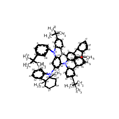 CC(C)(C)c1cccc(N2c3cc(C(C)(C)C)ccc3B3c4cc5c(cc4N(c4ccc(C(C)(C)C)cc4-c4ccccc4)c4cc(N6c7ccccc7C7(C)CCCCC67C)cc2c43)C(C)(C)c2ccccc2-5)c1